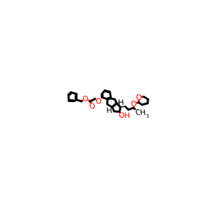 CC(CC[C@@H]1[C@H]2Cc3cccc(OCC(=O)OCc4ccccc4)c3C[C@H]2C[C@H]1O)OC1CCCCO1